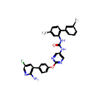 CCc1cccc(-c2ccc(C(F)(F)F)cc2NC(=O)Nc2cnc(Oc3ccc(-c4cc(F)cnc4N)cc3)nc2)c1